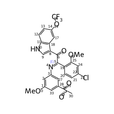 COc1cc(/N=C(/C(=O)c2c[nH]c3ccc(OC(F)(F)F)cc23)c2ccc(Cl)cc2OC)cc(S(C)(=O)=O)c1